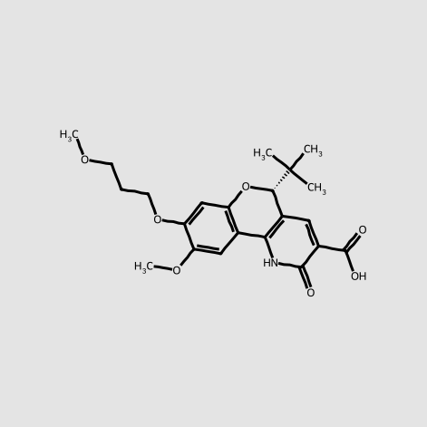 COCCCOc1cc2c(cc1OC)-c1[nH]c(=O)c(C(=O)O)cc1[C@@H](C(C)(C)C)O2